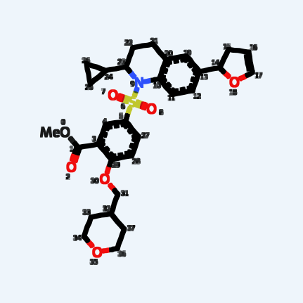 COC(=O)c1cc(S(=O)(=O)N2c3ccc(C4CC=CO4)cc3CCC2C2CC2)ccc1OCC1CCOCC1